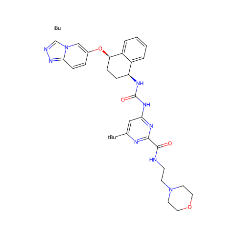 CC[C@H](C)c1nnc2ccc(O[C@@H]3CC[C@H](NC(=O)Nc4cc(C(C)(C)C)nc(C(=O)NCCN5CCOCC5)n4)c4ccccc43)cn12